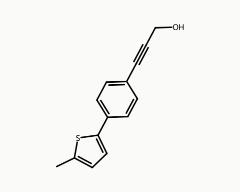 Cc1ccc(-c2ccc(C#CCO)cc2)s1